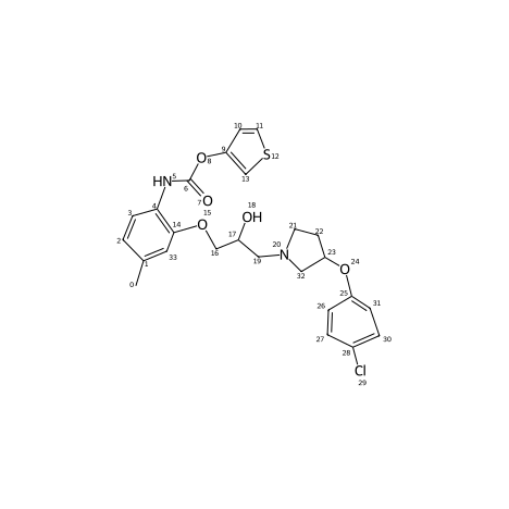 Cc1ccc(NC(=O)Oc2ccsc2)c(OCC(O)CN2CCC(Oc3ccc(Cl)cc3)C2)c1